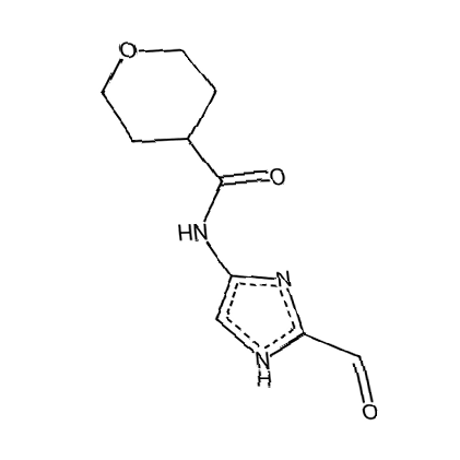 O=Cc1nc(NC(=O)C2CCOCC2)c[nH]1